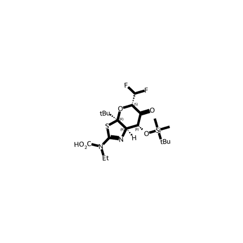 CCN(C(=O)O)C1=N[C@@H]2[C@@H](O[Si](C)(C)C(C)(C)C)C(=O)[C@@H](C(F)F)O[C@]2(C(C)(C)C)S1